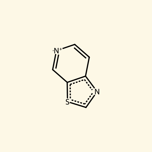 C1=Cc2ncsc2C=[N+]1